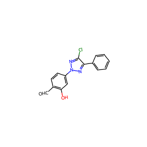 O=Cc1ccc(-n2nc(Cl)c(-c3ccccc3)n2)cc1O